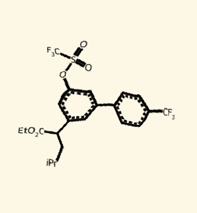 CCOC(=O)C(CC(C)C)c1cc(OS(=O)(=O)C(F)(F)F)cc(-c2ccc(C(F)(F)F)cc2)c1